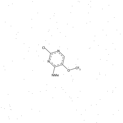 CNc1nc(Cl)ncc1OC(F)(F)F